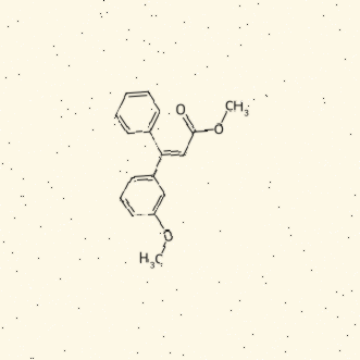 COC(=O)/C=C(\c1ccccc1)c1cccc(OC)c1